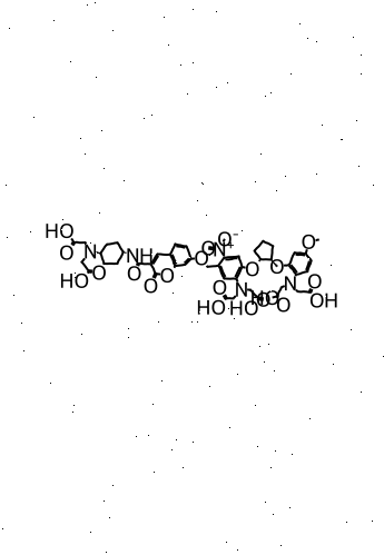 COc1ccc(N(CC(=O)O)CC(=O)O)c(O[C@@H]2CCC[C@@H]2Oc2cc([N+](=O)[O-])c(COc3ccc4cc(C(=O)N[C@H]5CC[C@H](N(CC(=O)O)CC(=O)O)CC5)c(=O)oc4c3)cc2N(CC(=O)O)CC(=O)O)c1